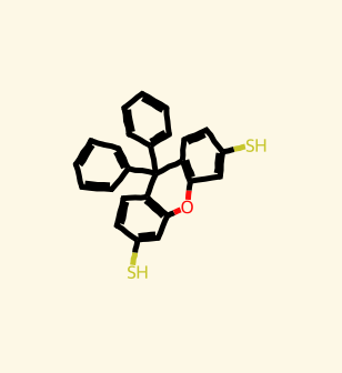 Sc1ccc2c(c1)Oc1cc(S)ccc1C2(c1ccccc1)c1ccccc1